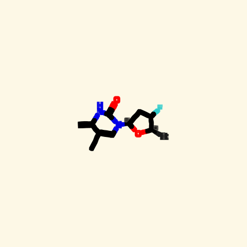 C=C1NC(=O)N([C@H]2CC(F)[C@@H](CC)O2)C=C1C